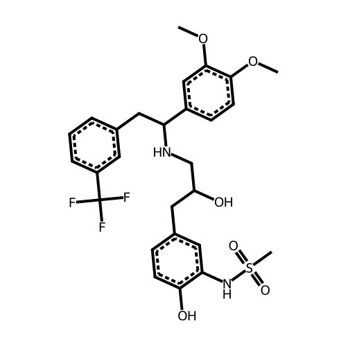 COc1ccc(C(Cc2cccc(C(F)(F)F)c2)NCC(O)Cc2ccc(O)c(NS(C)(=O)=O)c2)cc1OC